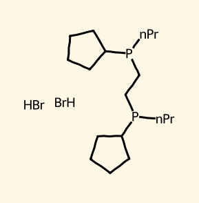 Br.Br.CCCP(CCP(CCC)C1CCCC1)C1CCCC1